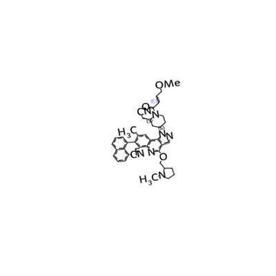 COC/C=C/C(=O)N1CC[C@H](n2ncc3c(OCC4CCCN4C)nc4c(F)c(-c5cccc6cccc(C#N)c56)c(C)cc4c32)C[C@H]1CC#N